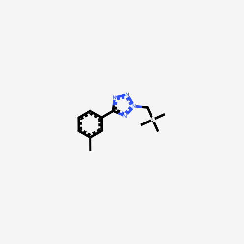 Cc1cccc(-c2nnn(C[Si](C)(C)C)n2)c1